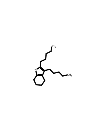 CCCCCC1=C(CCCCC)C2=C(CCCC2)[N]1